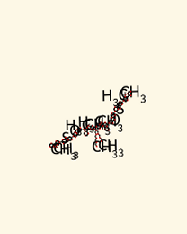 CCCCCCCCC1(CCCCCCCC)c2cc3c(cc2-c2cc4c(cc21)-c1c(cc(-c2ccc5oc6cc(-c7ccc8c(c7)sc7cc(-c9ccc%10c(c9)C(C)(C)c9ccccc9-%10)ccc78)ccc6c5c2)c2ccccc12)C4(C)C)C(C)(C)c1cc(-c2ccc4oc5cc(-c6ccc7c(c6)sc6cc(-c8ccc9c(c8)C(C)(C)c8ccccc8-9)ccc67)ccc5c4c2)c2ccccc2c1-3